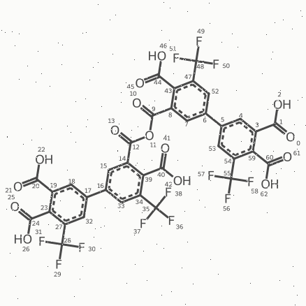 O=C(O)c1cc(-c2cc(C(=O)OC(=O)c3cc(-c4cc(C(=O)O)c(C(=O)O)c(C(F)(F)F)c4)cc(C(F)(F)F)c3C(=O)O)c(C(=O)O)c(C(F)(F)F)c2)cc(C(F)(F)F)c1C(=O)O